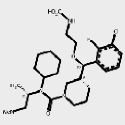 CNC[C@H](C)N(C(=O)N1CCC[C@@H]([C@@H](OCCNC(=O)O)c2cccc(Cl)c2F)C1)C1CCCCC1